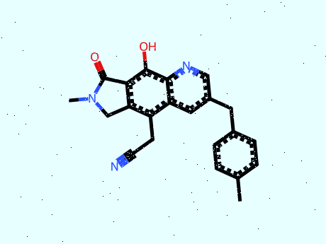 Cc1ccc(Cc2cnc3c(O)c4c(c(CC#N)c3c2)CN(C)C4=O)cc1